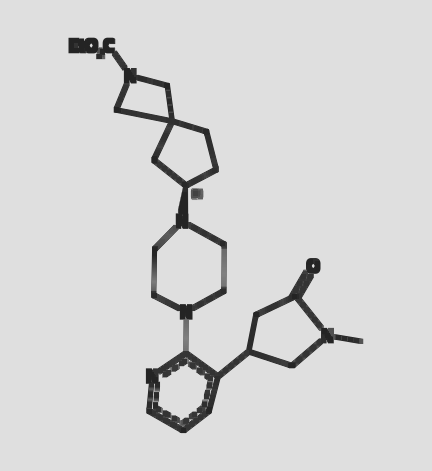 CCOC(=O)N1CC2(CC[C@@H](N3CCN(c4ncccc4C4CC(=O)N(C)C4)CC3)C2)C1